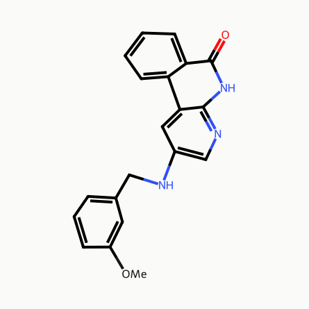 COc1cccc(CNc2cnc3[nH]c(=O)c4ccccc4c3c2)c1